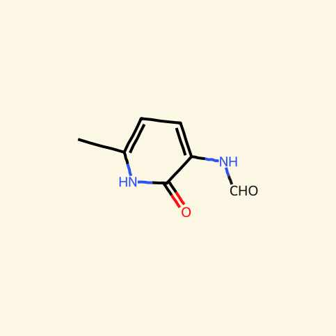 Cc1ccc(NC=O)c(=O)[nH]1